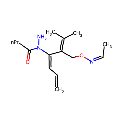 C=C/C=C(\C(CO/N=C\C)=C(C)C)N(N)C(=O)CCC